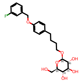 OC[C@H]1O[C@@H](OCCCCc2ccc(OCc3cccc(F)c3)cc2)[C@H](O)[C@@H](O)[C@@H]1O